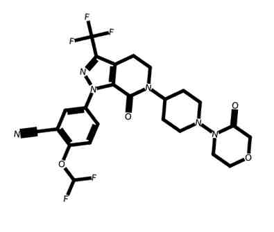 N#Cc1cc(-n2nc(C(F)(F)F)c3c2C(=O)N(C2CCN(N4CCOCC4=O)CC2)CC3)ccc1OC(F)F